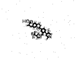 Cc1cc(-c2ccc(C3CCc4ccc(CC(C)C(=O)O)cc4O3)cc2CN2CCC(C(F)(F)F)C2)c(F)cn1